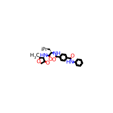 CC(C)C[C@H](NC(=O)c1ccc(C(=O)Nc2ccccc2)cc1)C(=O)N[C@@H]1C(=O)CO[C@@H]1C